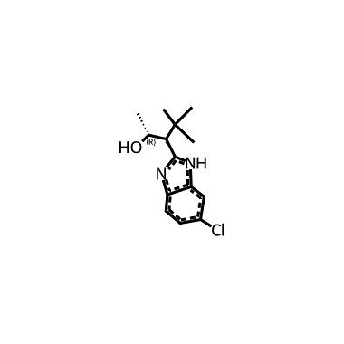 C[C@@H](O)[C](c1nc2ccc(Cl)cc2[nH]1)C(C)(C)C